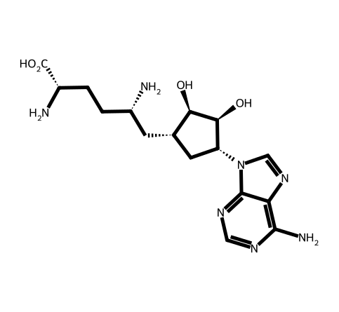 Nc1ncnc2c1ncn2[C@@H]1C[C@H](C[C@@H](N)CC[C@H](N)C(=O)O)[C@@H](O)[C@H]1O